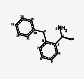 C[C@H](N)c1ccccc1Cc1ccccc1